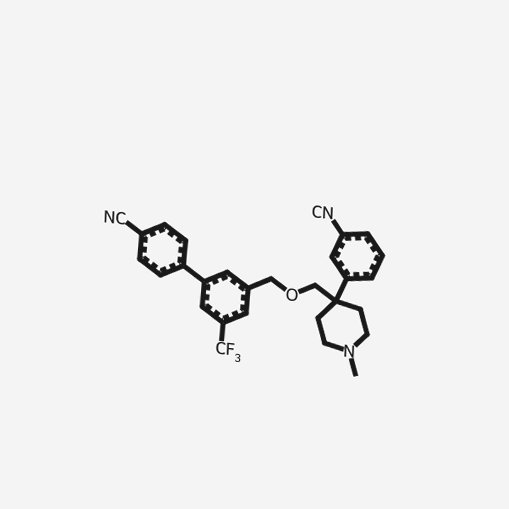 [C-]#[N+]c1cccc(C2(COCc3cc(-c4ccc(C#N)cc4)cc(C(F)(F)F)c3)CCN(C)CC2)c1